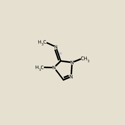 C/N=c1\n(C)cnn1C